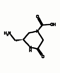 NC[C@@H]1CN(C(=O)O)CC(=O)N1